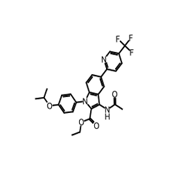 CCOC(=O)c1c(NC(C)=O)c2cc(-c3ccc(C(F)(F)F)cn3)ccc2n1-c1ccc(OC(C)C)cc1